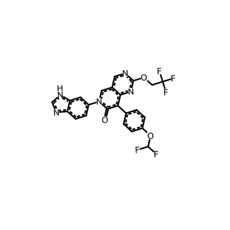 O=c1c(-c2ccc(OC(F)F)cc2)c2nc(OCC(F)(F)F)ncc2cn1-c1ccc2nc[nH]c2c1